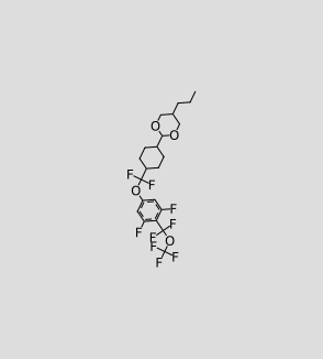 CCCC1COC(C2CCC(C(F)(F)Oc3cc(F)c(C(F)(F)OC(F)(F)F)c(F)c3)CC2)OC1